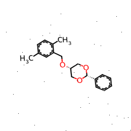 Cc1ccc(C)c(CO[C@H]2CO[C@@H](c3ccccc3)OC2)c1